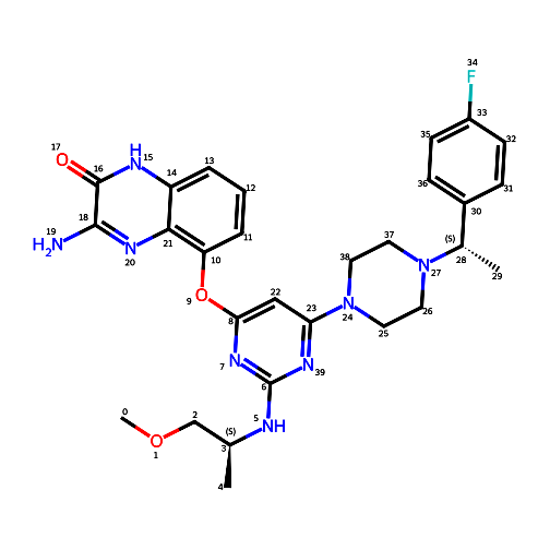 COC[C@H](C)Nc1nc(Oc2cccc3[nH]c(=O)c(N)nc23)cc(N2CCN([C@@H](C)c3ccc(F)cc3)CC2)n1